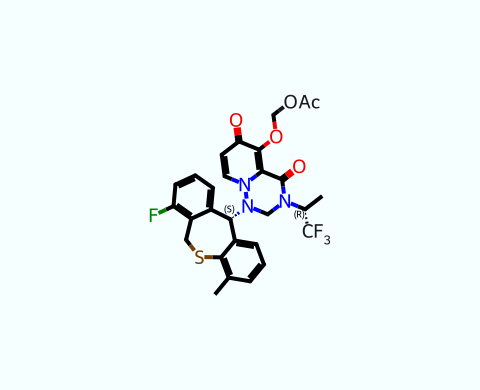 CC(=O)OCOc1c2n(ccc1=O)N([C@H]1c3cccc(F)c3CSc3c(C)cccc31)CN([C@H](C)C(F)(F)F)C2=O